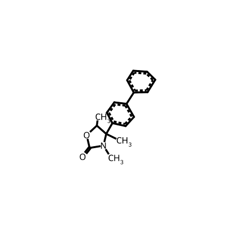 CC1OC(=O)N(C)C1(C)c1ccc(-c2ccccc2)cc1